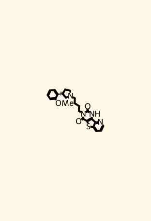 COc1ccccc1[C@H]1CCN(CCCCn2c(=O)[nH]c3c(sc4cccnc43)c2=O)C1